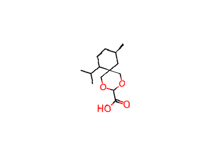 CC(C)C1CC[C@@H](C)CC12COC(C(=O)O)OC2